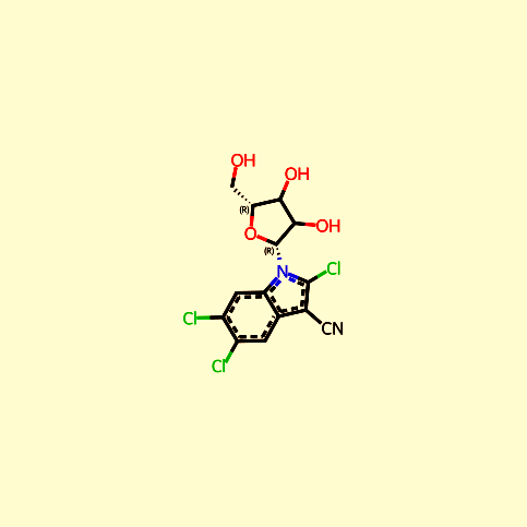 N#Cc1c(Cl)n([C@@H]2O[C@H](CO)C(O)C2O)c2cc(Cl)c(Cl)cc12